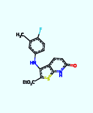 CCOC(=O)c1sc2[nH]c(=O)ccc2c1Nc1ccc(F)c(C)c1